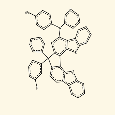 CC(C)(C)c1ccc(N(c2ccccc2)c2cc3c(c4sc5ccccc5c24)-c2c(ccc4c2oc2ccccc24)C3(c2ccccc2)c2cccc(F)c2)cc1